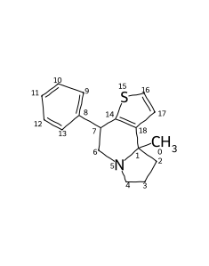 CC12CCCN1CC(c1ccccc1)c1sccc12